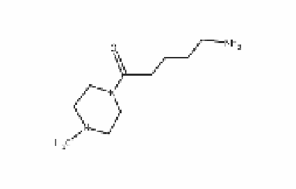 CN1CCN(C(=O)CCCCN)CC1